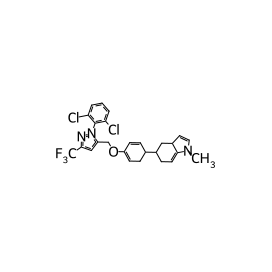 CN1C=CC2CC(C3C=CC(OCc4cc(C(F)(F)F)nn4-c4c(Cl)cccc4Cl)=CC3)CC=C21